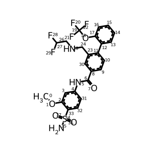 COc1cc(NC(=O)c2ccc(-c3ccccc3OC(F)(F)F)c(CNCC(F)F)c2)ccc1S(N)(=O)=O